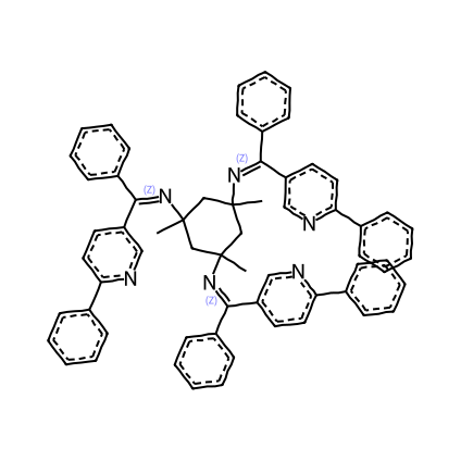 CC1(/N=C(/c2ccccc2)c2ccc(-c3ccccc3)nc2)CC(C)(/N=C(/c2ccccc2)c2ccc(-c3ccccc3)nc2)CC(C)(/N=C(/c2ccccc2)c2ccc(-c3ccccc3)nc2)C1